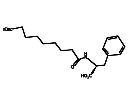 CCCCCCCCCCCCCCCCCC(=O)N[C@@H](Cc1ccccc1)C(=O)O